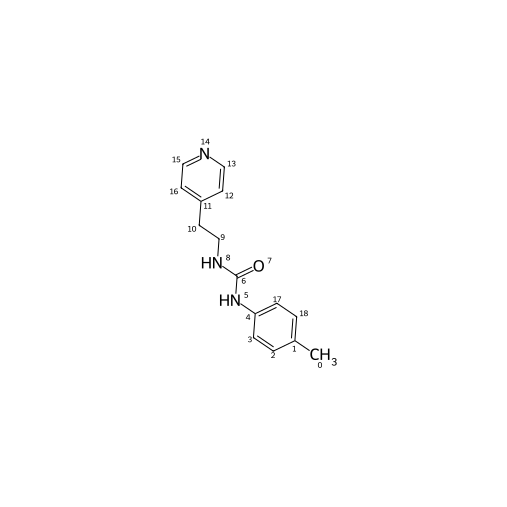 Cc1ccc(NC(=O)NCCc2ccncc2)cc1